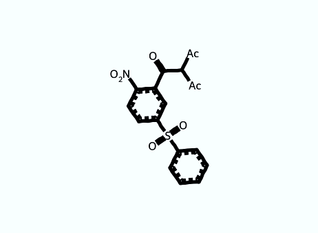 CC(=O)C(C(C)=O)C(=O)c1cc(S(=O)(=O)c2ccccc2)ccc1[N+](=O)[O-]